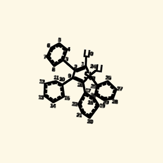 [Li][C]1=C(c2ccccc2)C(c2ccccc2)=C(c2ccccc2)[Si]1([Li])c1ccccc1